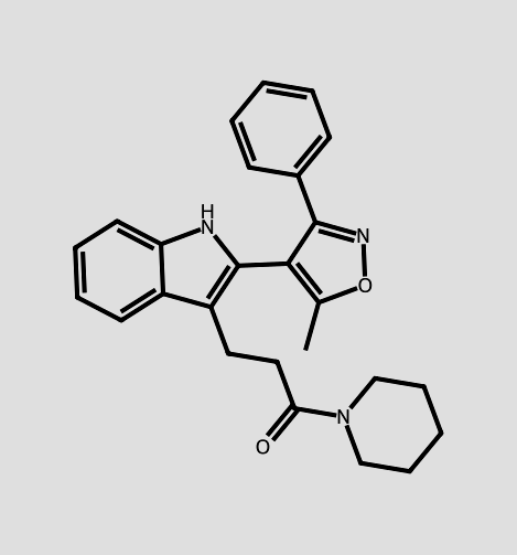 Cc1onc(-c2ccccc2)c1-c1[nH]c2ccccc2c1CCC(=O)N1CCCCC1